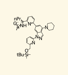 CCC[C@H](N[S@@+](C)[O-])c1cccc(-c2cc(N3CCCCC3)c3cnn(-c4cccc(CO[Si](C)(C)C(C)(C)C)n4)c3c2)n1